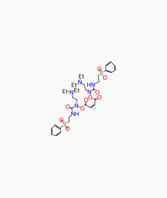 CCN(CC)CCN(OC(=O)/C=C\C(=O)ON(CCN(CC)CC)C(=O)NCCS(=O)(=O)c1ccccc1)C(=O)NCCS(=O)(=O)c1ccccc1